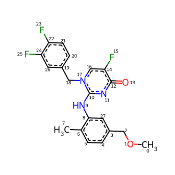 COCc1ccc(C)c(Nc2nc(=O)c(F)cn2Cc2ccc(F)c(F)c2)c1